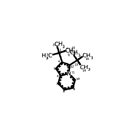 CC(C)(C)c1cc2ccccn2c1C(C)(C)C